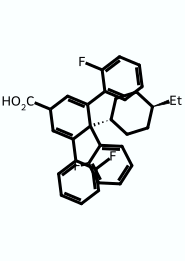 CC[C@H]1CC[C@H](C2(c3ccccc3F)C(c3ccccc3F)=CC(C(=O)O)C=C2c2ccccc2F)CC1